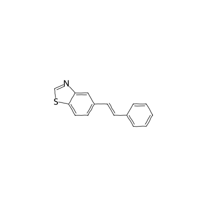 C(=C\c1ccc2scnc2c1)/c1ccccc1